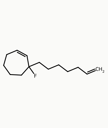 C=CCCCCCC1(F)C=CCCCC1